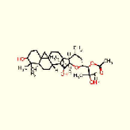 CC(=O)O[C@H]([C@H]1C[C@@H](C)[C@H]2[C@@H](O1)[C@@H](O)[C@@]1(C)[C@@H]3CC[C@H]4C(C)(C)[C@@H](O)CCC45C[C@@]35CC[C@]21C)C(C)(C)O